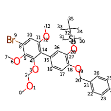 COCOc1c(OC)c(Br)cc(OC)c1-c1ccc(OCc2ccccc2)c(O[Si](C)(C)C(C)(C)C)c1